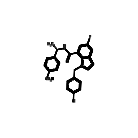 C[C@H](NC(=O)c1cc(F)cc2ccn(Cc3ccc(Cl)cc3)c12)c1ccc(C(=O)O)cc1